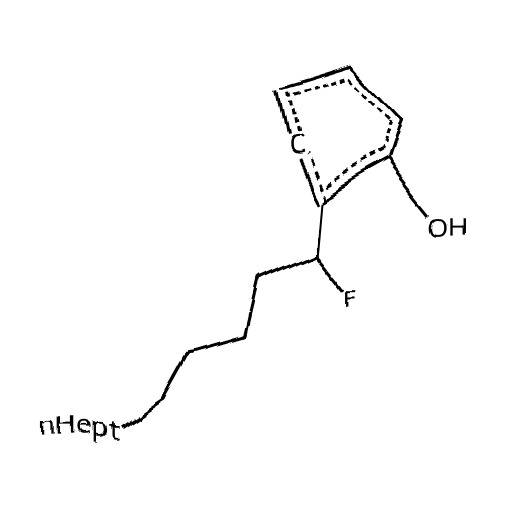 CCCCCCCCCCCC(F)c1ccccc1O